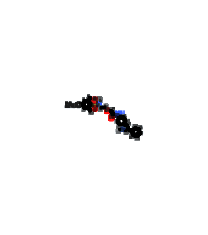 COc1cc(C)c(S(=O)(=O)N(C)CCOCC(=O)NC2CCC(CCc3ccccc3)(N(C)C)CC2)c(C)c1